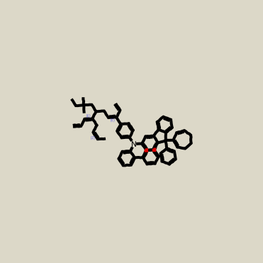 C=C/C=C(\C/C=C\C)C(C/C=C(\C=C)c1ccc(N(c2ccc3c(c2)-c2ccccc2C3(C2=CCCCC=C2)c2ccccc2)c2ccccc2-c2ccccc2)cc1)CC(C)(C)CC